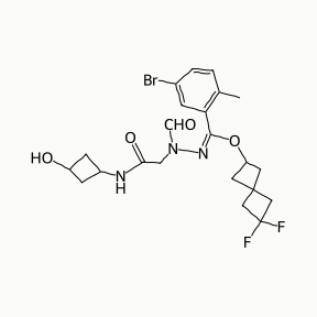 Cc1ccc(Br)cc1/C(=N\N(C=O)CC(=O)NC1CC(O)C1)OC1CC2(C1)CC(F)(F)C2